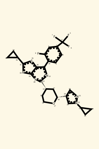 Fc1cc(C(F)(F)F)ccc1-c1nc([C@H]2CCO[C@@H](c3cnn(C4CC4)c3)C2)nc2nc(C3CC3)sc12